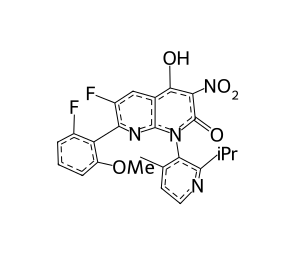 COc1cccc(F)c1-c1nc2c(cc1F)c(O)c([N+](=O)[O-])c(=O)n2-c1c(C)ccnc1C(C)C